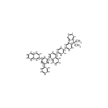 CC1(C)c2ccccc2-c2cc(-c3ccc(-c4ccc(-c5cc(-c6ccc7ccccc7c6)nc(-c6ccccc6)n5)c5ccccc45)cc3)ccc21